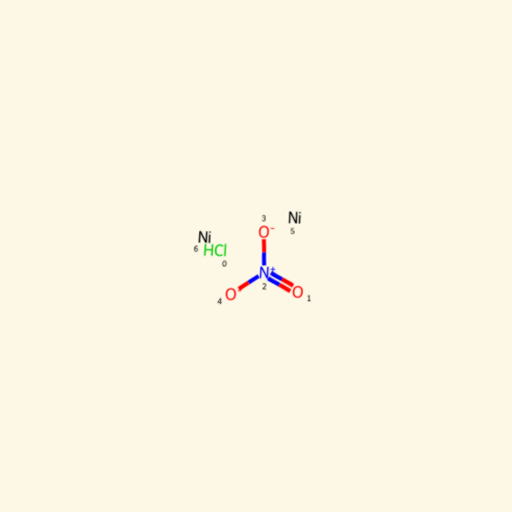 Cl.O=[N+]([O-])[O-].[Ni].[Ni]